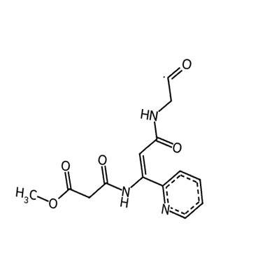 COC(=O)CC(=O)NC(=CC(=O)NC[C]=O)c1ccccn1